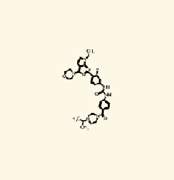 CCn1ccc2c(N3CCOCC3)nc(-c3ccc(NC(=O)Nc4ccc(C(=O)N5CCN(C(C)C)CC5)cc4)cc3F)nc21